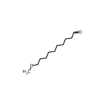 COCCCCCCCCCC=O